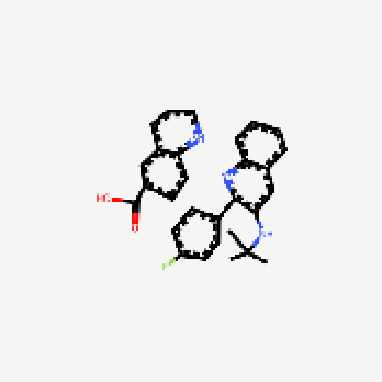 CC(C)(C)Nc1cc2ccccc2nc1-c1ccc(F)cc1.O=C(O)c1ccc2ncccc2c1